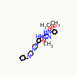 COc1cc(N2CCN(C3CCN(Cc4ccccc4)CC3)CC2)ccc1Nc1ncnc(Nc2ccccc2S(=O)(=O)C(C)C)n1